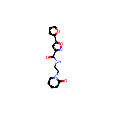 O=C(NCCn1ccccc1=O)c1cc(-c2ccco2)on1